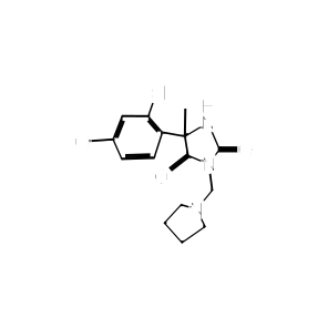 CC1(c2ccc(Cl)cc2Cl)NC(=O)N(CN2CCCC2)C1=O